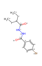 CCC(CC)C(=O)NNC(=O)c1ccc(Br)cc1